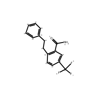 NC(=O)c1cc(C(F)(F)F)ccc1CCc1ccccc1